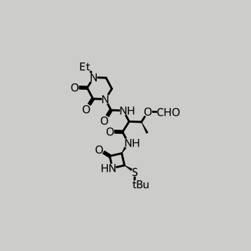 CCN1CCN(C(=O)NC(C(=O)N[C@@H]2C(=O)N[C@@H]2SC(C)(C)C)[C@H](C)OC=O)C(=O)C1=O